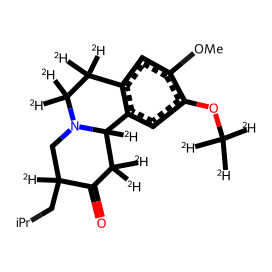 [2H]C([2H])([2H])Oc1cc2c(cc1OC)C([2H])([2H])C([2H])([2H])N1CC([2H])(CC(C)C)C(=O)C([2H])([2H])C21[2H]